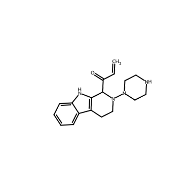 C=CC(=O)C1c2[nH]c3ccccc3c2CCN1N1CCNCC1